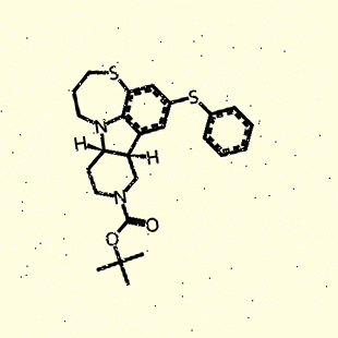 CC(C)(C)OC(=O)N1CC[C@H]2[C@@H](C1)c1cc(Sc3ccccc3)cc3c1N2CCCS3